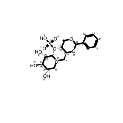 O=S(=O)(O)O[C@@H]1COC(c2ccccc2)O[C@H]1CN1C[C@@H](O)[C@H](O)[C@@H](O)C1